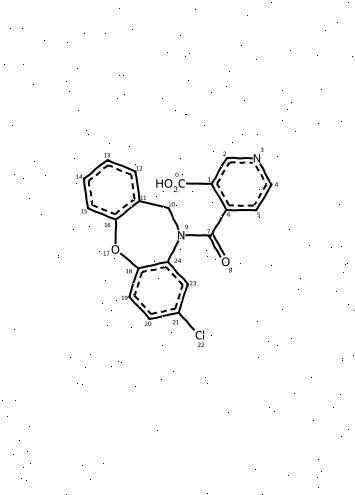 O=C(O)c1cnccc1C(=O)N1Cc2ccccc2Oc2ccc(Cl)cc21